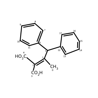 CC(=C(C(=O)O)C(=O)O)C(c1ccccc1)c1ccccc1